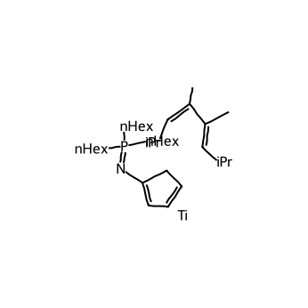 CC(=CC(C)C)C(C)=CC(C)C.CCCCCCP(CCCCCC)(CCCCCC)=NC1=CC=CC1.[Ti]